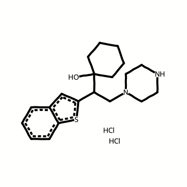 Cl.Cl.OC1(C(CN2CCNCC2)c2cc3ccccc3s2)CCCCC1